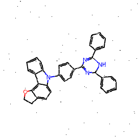 c1ccc(C2=NC(c3ccc(-n4c5ccccc5c5c6c(ccc54)CCO6)cc3)=NC(c3ccccc3)N2)cc1